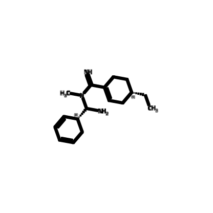 CC[C@@H]1CC=C(C(=N)N(C)C(N)[C@H]2C=CC=CC2)CC1